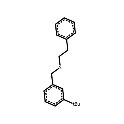 CC(C)(C)c1cccc(CSCCc2ccccc2)c1